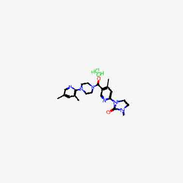 Cc1cnc(N2CCN(C(=O)c3cnc(N4CCN(C)C4=O)cc3C)CC2)c(C)c1.Cl.Cl